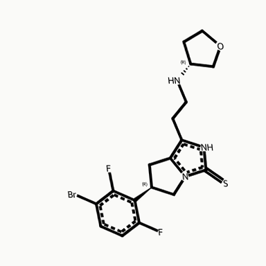 Fc1ccc(Br)c(F)c1[C@H]1Cc2c(CCN[C@@H]3CCOC3)[nH]c(=S)n2C1